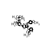 COC(=O)c1ncccc1Sc1nn(Cc2ccc(OC)cc2)c2nc(N3CCC(C)(NC(=O)OC(C)(C)C)CC3)cnc12